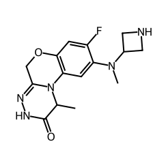 CC1C(=O)NN=C2COc3cc(F)c(N(C)C4CNC4)cc3N21